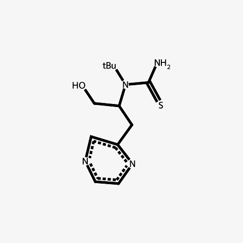 CC(C)(C)N(C(N)=S)C(CO)Cc1cnccn1